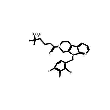 CC(C)(CCCC(=O)N1CCc2c(n(Cc3ccc(F)c(F)c3F)c3ncccc23)C1)C(=O)O